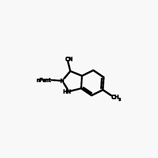 CCCCCN1NC2=CC(C)=CCC2C1C#N